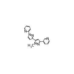 Cn1nc(-c2cccnc2)cc1-c1ccn(-c2ccccn2)n1